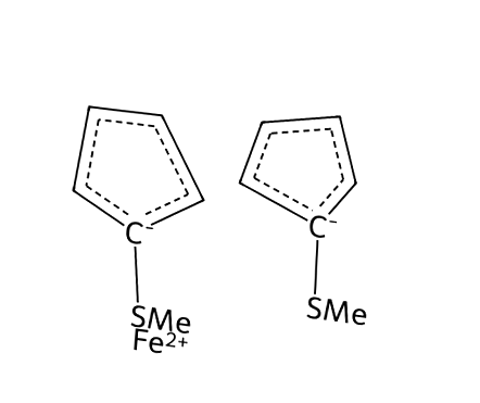 CS[c-]1cccc1.CS[c-]1cccc1.[Fe+2]